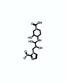 O=C(O)N1CCC(NC(O)C(O)Cn2ccnc2[N+](=O)[O-])C(O)C1